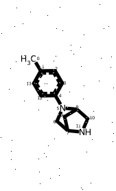 Cc1ccc(N2CC3CC2CN3)cc1